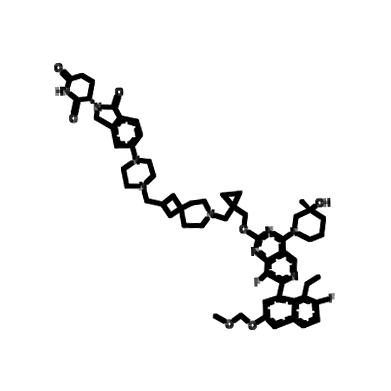 CCc1c(F)ccc2cc(OCOC)cc(-c3ncc4c(N5CCC[C@@](C)(O)C5)nc(OCC5(CN6CCC7(CC6)CC(CN6CCN(c8ccc9c(c8)CN([C@H]8CCC(=O)NC8=O)C9=O)CC6)C7)CC5)nc4c3F)c12